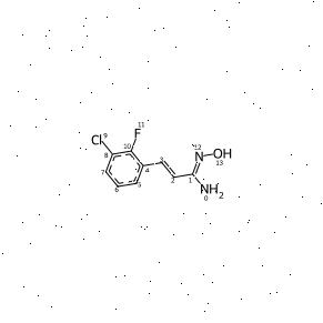 NC(/C=C/c1cccc(Cl)c1F)=NO